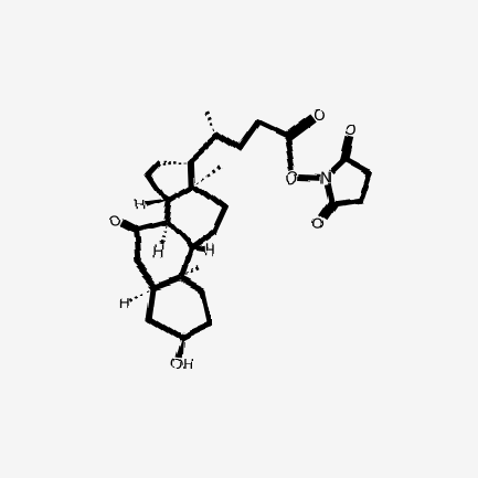 C[C@H](CCC(=O)ON1C(=O)CCC1=O)[C@H]1CC[C@H]2[C@@H]3C(=O)C[C@@H]4C[C@H](O)CC[C@]4(C)[C@H]3CC[C@]12C